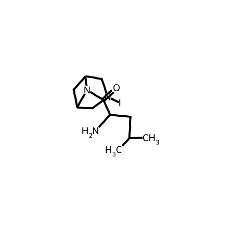 CC(C)CC(N)C(=O)N1C2CC1CN(I)C2